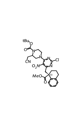 COC(=O)[C@]1(Cc2nc(Cl)nc(N3CCN(C(=O)OC(C)(C)C)C(CC#N)C3)c2[N+](=O)[O-])CCCc2ccccc21